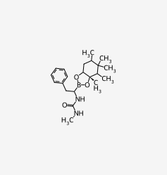 CNC(=O)NC(Cc1ccccc1)B1OC2CC(C)C(C)(C)C(C)[C@]2(C)O1